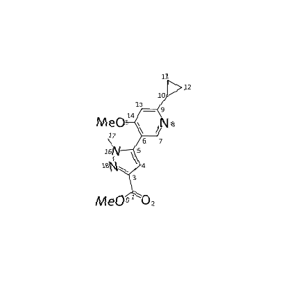 COC(=O)c1cc(-c2cnc(C3CC3)cc2OC)n(C)n1